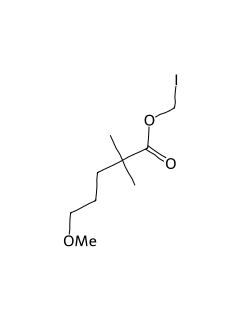 COCCCC(C)(C)C(=O)OCI